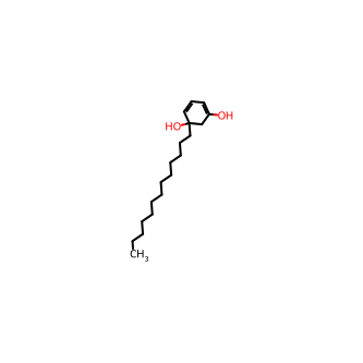 CCCCCCCCCCCCCC1(O)C=CC=C(O)C1